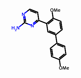 COc1ccc(-c2ccc(OC)c(-c3ccnc(N)n3)c2)cc1